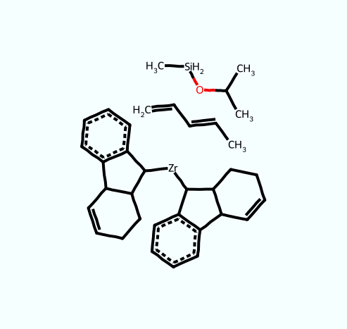 C1=CC2c3ccccc3[CH]([Zr][CH]3c4ccccc4C4C=CCCC43)C2CC1.C=CC=CC.C[SiH2]OC(C)C